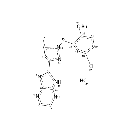 Cc1cc(-c2nc3nccnc3[nH]2)nn1Cc1cc(Cl)ccc1OCC(C)C.Cl